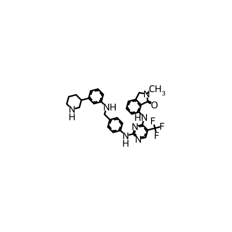 CN1Cc2cccc(Nc3nc(Nc4ccc(CNc5cccc(C6CCCNC6)c5)cc4)ncc3C(F)(F)F)c2C1=O